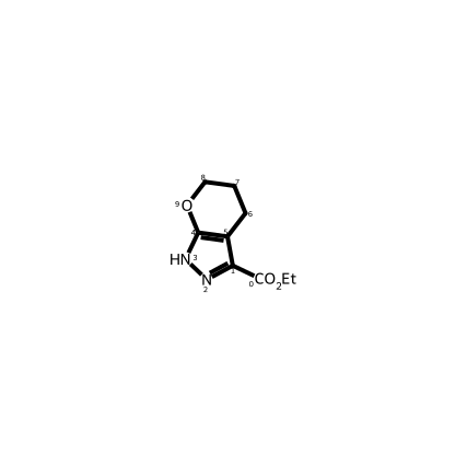 CCOC(=O)c1n[nH]c2c1CCCO2